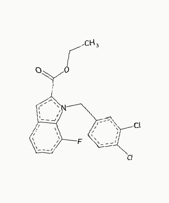 CCOC(=O)c1cc2cccc(F)c2n1Cc1ccc(Cl)c(Cl)c1